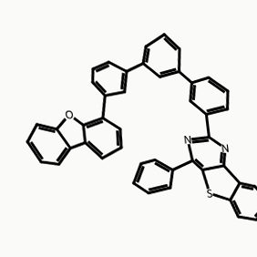 c1ccc(-c2nc(-c3cccc(-c4cccc(-c5cccc(-c6cccc7c6oc6ccccc67)c5)c4)c3)nc3c2sc2ccccc23)cc1